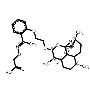 C/C(=N\OCC(=O)O)c1ccccc1OCCO[C@H]1O[C@@H]2O[C@@]3(C)CCC4[C@H](C)CC[C@@H]([C@H]1C)[C@]42OO3